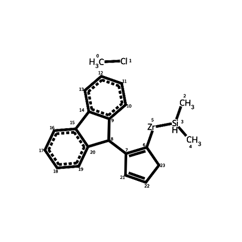 CCl.C[SiH](C)[Zr][C]1=C(C2c3ccccc3-c3ccccc32)C=CC1